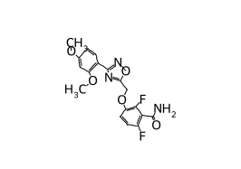 COc1ccc(-c2noc(COc3ccc(F)c(C(N)=O)c3F)n2)c(OC)c1